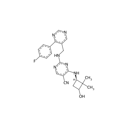 CC1(C)C(O)C[C@H]1Nc1nc(NCc2cncnc2-c2ccc(F)cc2)ncc1C#N